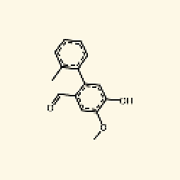 COc1cc(C=O)c(-c2ccccc2C)cc1O